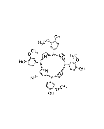 COc1cc(-c2c3nc(c(-c4ccc(O)c(OC)c4)c4ccc([n-]4)c(-c4ccc(O)c(OC)c4)c4nc(c(-c5ccc(O)c(OC)c5)c5ccc2[n-]5)C=C4)C=C3)ccc1O.[Ni+2]